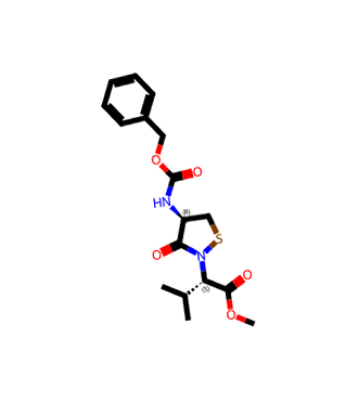 COC(=O)[C@H](C(C)C)N1SC[C@H](NC(=O)OCc2ccccc2)C1=O